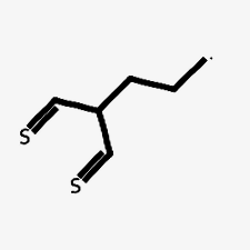 [CH2]CCC(C=S)C=S